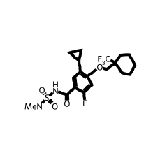 CNS(=O)(=O)NC(=O)c1cc(C2CC2)c(OCC2(C(F)(F)F)CCCCC2)cc1F